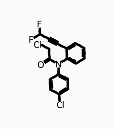 O=C(CCl)N(c1ccc(Cl)cc1)c1ccccc1C#CC(F)F